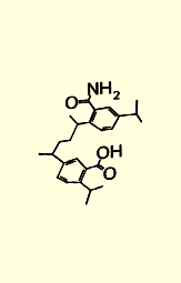 CC(C)c1ccc(C(C)CCC(C)c2ccc(C(C)C)c(C(=O)O)c2)c(C(N)=O)c1